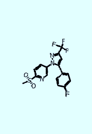 CS(=O)(=O)c1ccc(-n2nc(C(F)(F)F)cc2-c2ccc(F)cc2)cn1